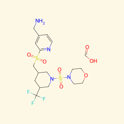 NCc1ccnc(S(=O)(=O)CC2CC(C(F)(F)F)CN(S(=O)(=O)N3CCOCC3)C2)c1.O=CO